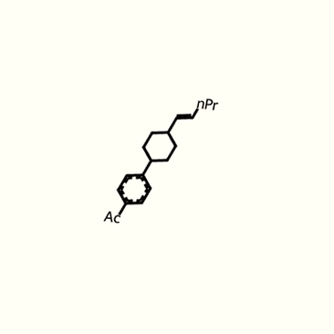 CCC/C=C/C1CCC(c2ccc(C(C)=O)cc2)CC1